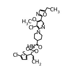 C=CC(c1ccc(Cl)s1)S(=O)(=O)NC(=O)C1CCN(c2ncc(-c3ncc(CC)o3)c(OC)c2Cl)CC1